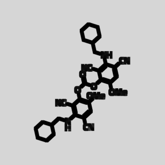 COc1cc(C#N)c(NCC2CCCCC2)c(C#N)c1OC(=O)Oc1c(OC)cc(C#N)c(NCC2CCCCC2)c1C#N